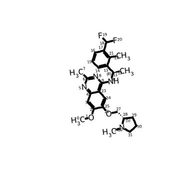 COc1cc2nc(C)nc(N[C@H](C)c3cccc(C(F)F)c3C)c2cc1OC[C@@H]1CCCN1C